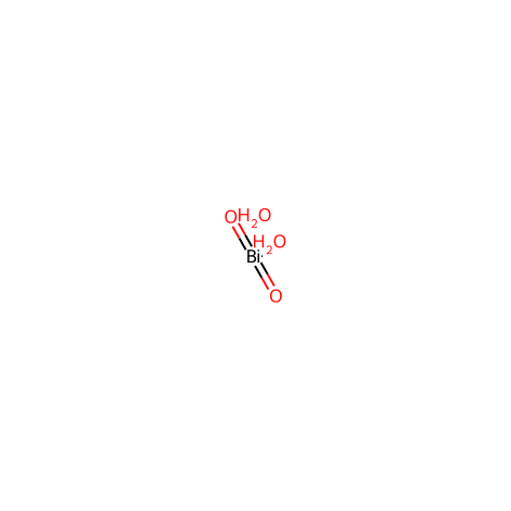 O.O.[O]=[Bi]=[O]